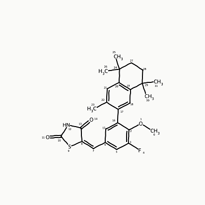 COc1c(F)cc(C=C2SC(=O)NC2=O)cc1-c1cc2c(cc1C)C(C)(C)CCC2(C)C